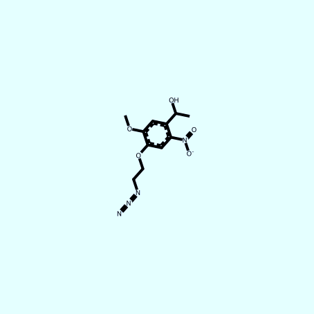 COc1cc(C(C)O)c([N+](=O)[O-])cc1OCCN=[N+]=[N-]